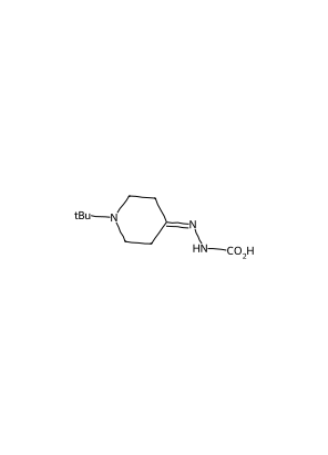 CC(C)(C)N1CCC(=NNC(=O)O)CC1